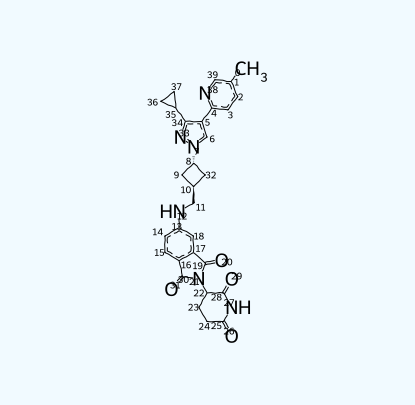 Cc1ccc(-c2cn([C@H]3C[C@H](CNc4ccc5c(c4)C(=O)N(C4CCC(=O)NC4=O)C5=O)C3)nc2C2CC2)nc1